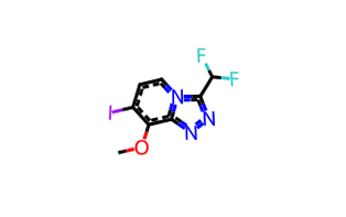 COc1c(I)ccn2c(C(F)F)nnc12